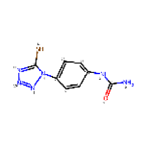 NC(=O)Nc1ccc(-n2nnnc2S)cc1